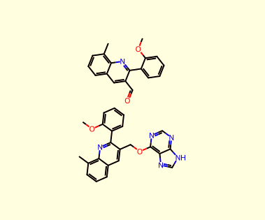 COc1ccccc1-c1nc2c(C)cccc2cc1C=O.COc1ccccc1-c1nc2c(C)cccc2cc1COc1ncnc2[nH]cnc12